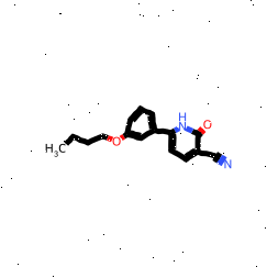 CCCCOc1cccc(-c2ccc(C#N)c(=O)[nH]2)c1